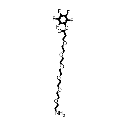 NCCOCCOCCOCCOCCOCCOCCC(=O)Oc1c(F)c(F)c(F)c(F)c1F